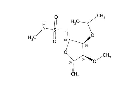 CNS(=O)(=O)C[C@H]1O[C@@H](C)[C@H](OC)[C@@H]1OC(C)C